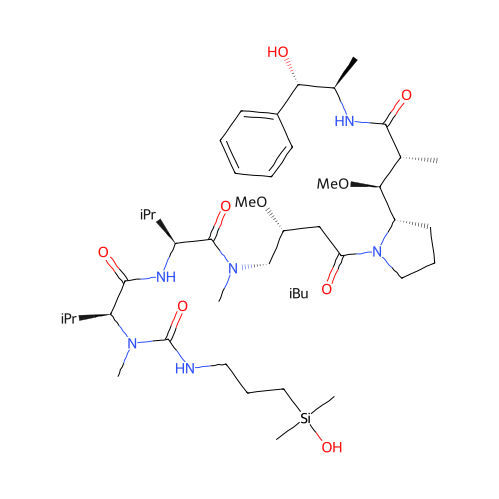 CC[C@H](C)[C@@H]([C@@H](CC(=O)N1CCC[C@H]1[C@@H](OC)[C@@H](C)C(=O)N[C@H](C)[C@@H](O)c1ccccc1)OC)N(C)C(=O)[C@@H](NC(=O)[C@H](C(C)C)N(C)C(=O)NCCC[Si](C)(C)O)C(C)C